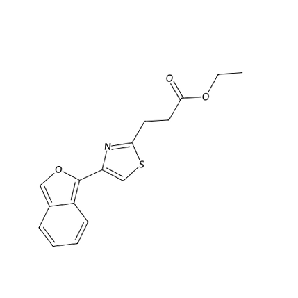 CCOC(=O)CCc1nc(-c2occ3ccccc23)cs1